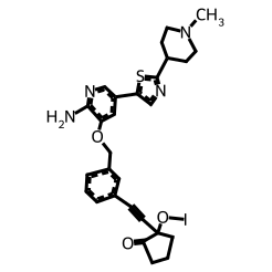 CN1CCC(c2ncc(-c3cnc(N)c(OCc4cccc(C#CC5(OI)CCCC5=O)c4)c3)s2)CC1